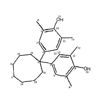 Cc1cc(C2(c3cc(C)c(O)c(C)c3)CCCCCCC2)cc(C)c1O